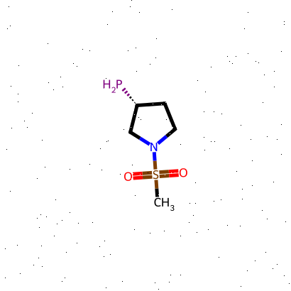 CS(=O)(=O)N1CC[C@@H](P)C1